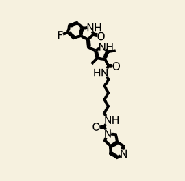 Cc1[nH]c(C=C2C(=O)Nc3ccc(F)cc32)c(C)c1C(=O)NCCCCCCNC(=O)N1Cc2ccncc2C1